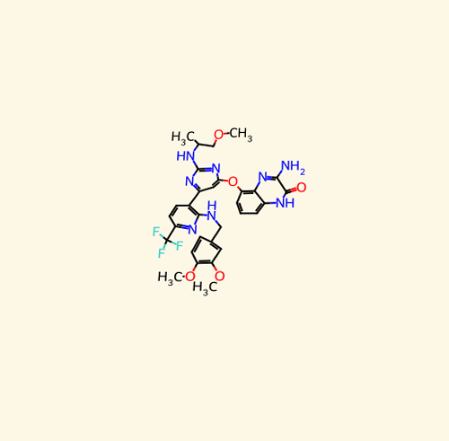 COCC(C)Nc1nc(Oc2cccc3[nH]c(=O)c(N)nc23)cc(-c2ccc(C(F)(F)F)nc2NCc2ccc(OC)c(OC)c2)n1